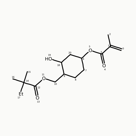 C=C(C)C(=O)OC1CCC(COC(=O)C(C)(C)CC)C(O)C1